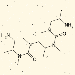 CC(N)CN(C)C(=O)N(C)C(C)CN(C)C(=O)N(C)C(C)CN